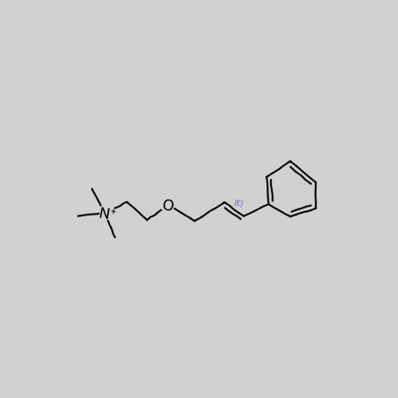 C[N+](C)(C)CCOC/C=C/c1ccccc1